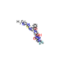 Cc1ccc(-c2ncc(CN3CC[C@@H](C(=O)N4CCC(O)(Cn5cnc6c(ccn6CC(F)F)c5=O)CC4)[C@H](c4ccccc4)C3)s2)cn1